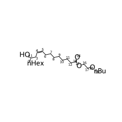 CCCCCC[C@@H](O)C/C=C\CCCCCCCC(=O)OCCOCCCC